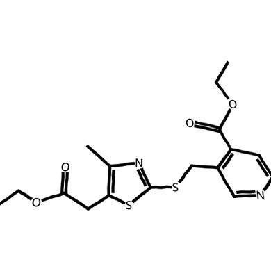 CCOC(=O)Cc1sc(SCc2cnccc2C(=O)OCC)nc1C